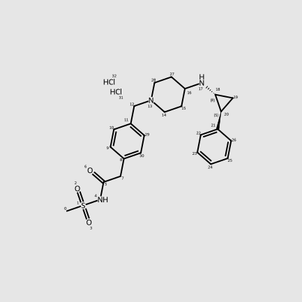 CS(=O)(=O)NC(=O)Cc1ccc(CN2CCC(N[C@@H]3C[C@H]3c3ccccc3)CC2)cc1.Cl.Cl